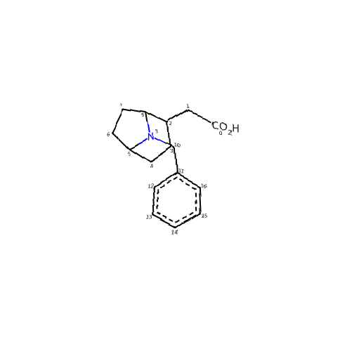 O=C(O)CC1CCC2CCC1N2Cc1ccccc1